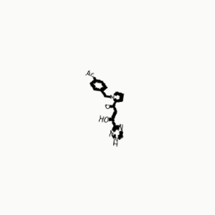 CC(=O)c1ccc(Cn2cccc2C(=O)C=C(O)c2nc[nH]n2)cc1